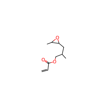 C=CC(=O)OCC(C)CC1OC1C